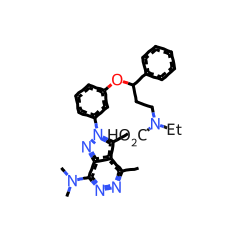 CCN(CCC(Oc1cccc(-n2nc3c(N(C)C)nnc(C)c3c2C)c1)c1ccccc1)C(=O)O